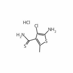 Cc1sc(N)c(Cl)c1C(N)=S.Cl